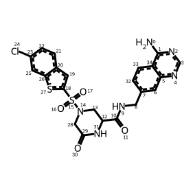 Nc1ncnc2cc(CNC(=O)C3CN(S(=O)(=O)c4cc5ccc(Cl)cc5s4)CC(=O)N3)ccc12